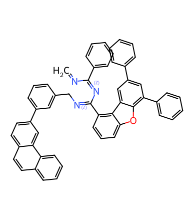 C=N/C(=N\C(=N/Cc1cccc(-c2ccc3ccc4ccccc4c3c2)c1)c1cccc2oc3c(-c4ccccc4)cc(-c4ccccc4)cc3c12)c1ccccc1